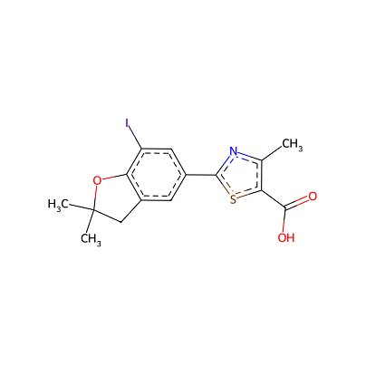 Cc1nc(-c2cc(I)c3c(c2)CC(C)(C)O3)sc1C(=O)O